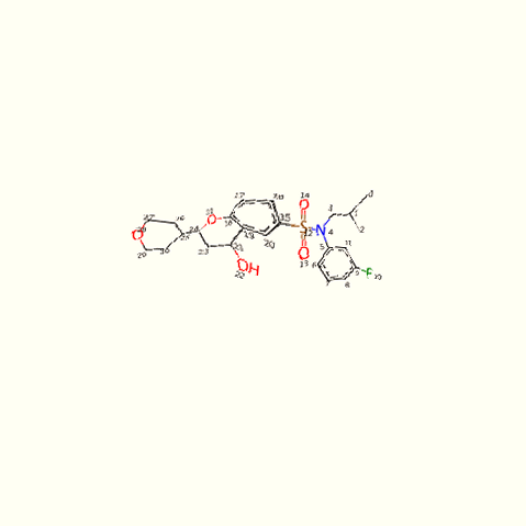 CC(C)CN(c1cccc(F)c1)S(=O)(=O)c1ccc2c(c1)C(O)CC(C1CCOCC1)O2